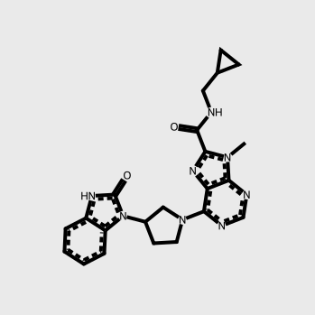 Cn1c(C(=O)NCC2CC2)nc2c(N3CCC(n4c(=O)[nH]c5ccccc54)C3)ncnc21